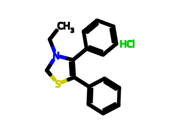 CCN1CSC(c2ccccc2)=C1c1ccccc1.Cl